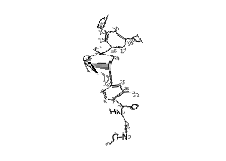 CO/N=C\NC(=O)c1ccc(C2=NOC(C)(c3cc(Cl)cc(Cl)c3)C2)cc1C